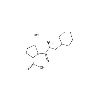 Cl.NC(CC1CCCCC1)C(=O)N1CCC[C@H]1C(=O)O